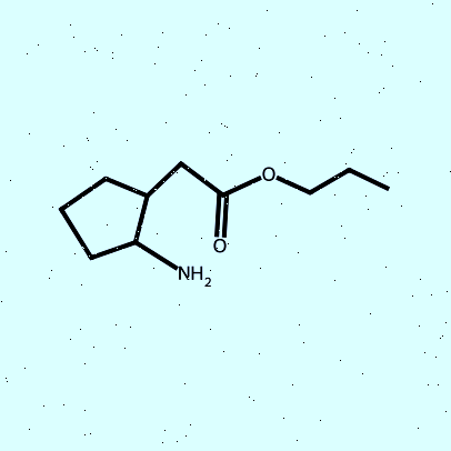 CCCOC(=O)CC1CCCC1N